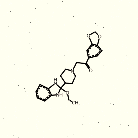 CCOC1(C2CCN(CC(=O)c3ccc4c(c3)OCO4)CC2)Nc2ccccc2N1